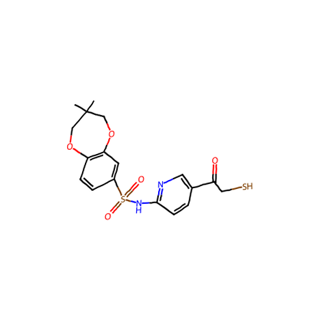 CC1(C)COc2ccc(S(=O)(=O)Nc3ccc(C(=O)CS)cn3)cc2OC1